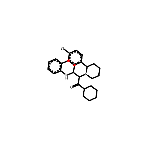 O=C(C1CCCCC1)C(C1CCc2ccccc2N1)N1CCCCC1c1ccc(Cl)cc1